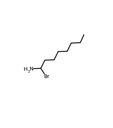 CCCCCCCC(N)Br